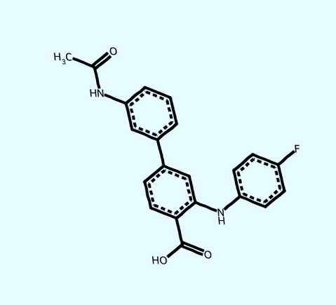 CC(=O)Nc1cccc(-c2ccc(C(=O)O)c(Nc3ccc(F)cc3)c2)c1